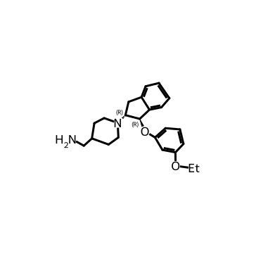 CCOc1cccc(O[C@@H]2c3ccccc3C[C@H]2N2CCC(CN)CC2)c1